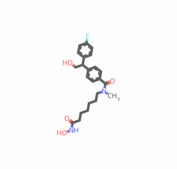 CN(CCCCCCC(=O)NO)C(=O)c1ccc(C(CO)c2ccc(F)cc2)cc1